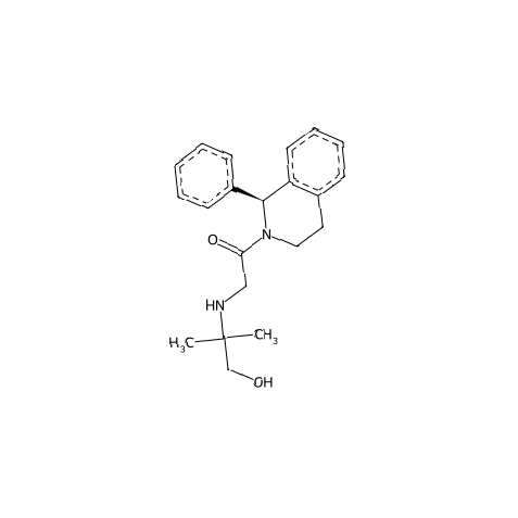 CC(C)(CO)NCC(=O)N1CCc2ccccc2[C@@H]1c1ccccc1